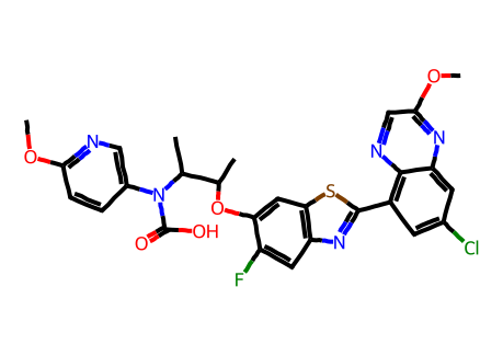 COc1ccc(N(C(=O)O)C(C)C(C)Oc2cc3sc(-c4cc(Cl)cc5nc(OC)cnc45)nc3cc2F)cn1